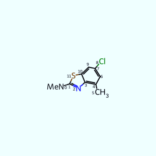 CNc1nc2c(C)cc(Cl)cc2s1